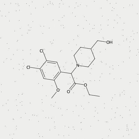 CCOC(=O)C(c1cc(Cl)c(Cl)cc1OC)N1CCC(CO)CC1